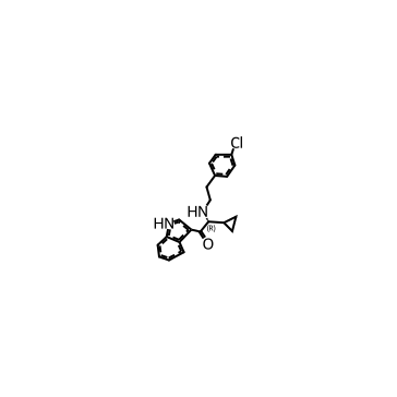 O=C(c1c[nH]c2ccccc12)[C@H](NCCc1ccc(Cl)cc1)C1CC1